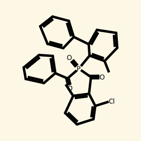 Cc1cccc(Cl)c1C(=O)P(=O)(C(=O)c1ccccc1)c1c(C)cccc1-c1ccccc1